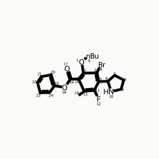 CCCCOc1c(Br)c(C2CCCN2)c(F)c(C)c1C(=O)Oc1ccccc1